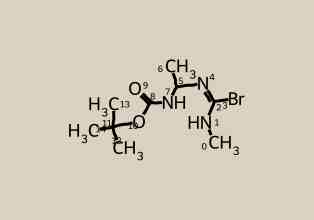 CN/C(Br)=N\C(C)NC(=O)OC(C)(C)C